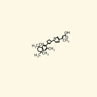 CC(=CC(=O)O)c1ccc(C2C=C(c3cc4c(cc3C)C(C)(C)CCC4(C)C)CC2)nc1